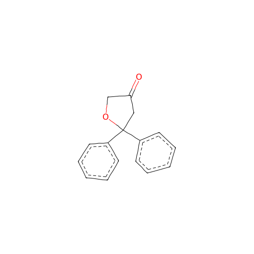 O=C1COC(c2ccccc2)(c2ccccc2)C1